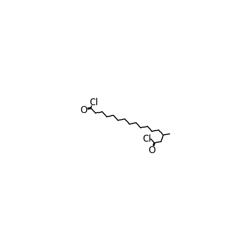 CC(CCCCCCCCCCCCC(=O)Cl)CC(=O)Cl